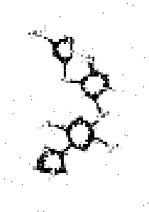 Cc1cc(Nc2nc(Nc3cc(C)c(-c4cnco4)cc3C)ncc2Cl)n[nH]1